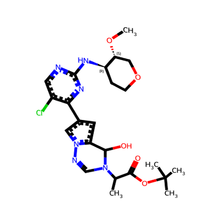 CO[C@@H]1COCC[C@H]1Nc1ncc(Cl)c(-c2cc3n(c2)N=CN(C(C)C(=O)OC(C)(C)C)C3O)n1